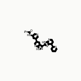 CC(C)C(=O)Nc1cncc(-c2cnc3[nH]nc(-c4nc5c(-c6ccccn6)ccnc5[nH]4)c3c2)c1